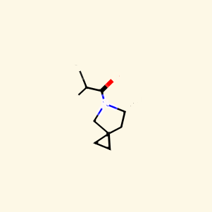 CC(C)C(C)C(=O)N1CC2(CC2)C[C@H]1C